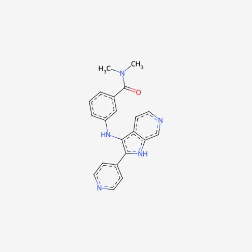 CN(C)C(=O)c1cccc(Nc2c(-c3ccncc3)[nH]c3cnccc23)c1